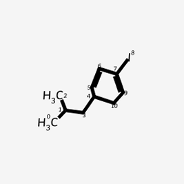 CC(C)CC1C=CC(I)=CC1